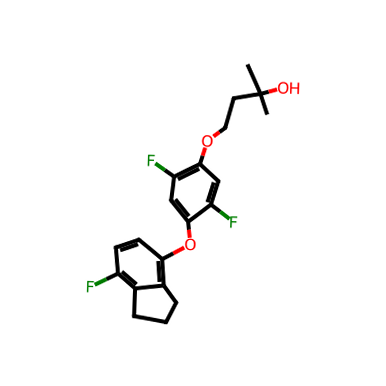 CC(C)(O)CCOc1cc(F)c(Oc2ccc(F)c3c2CCC3)cc1F